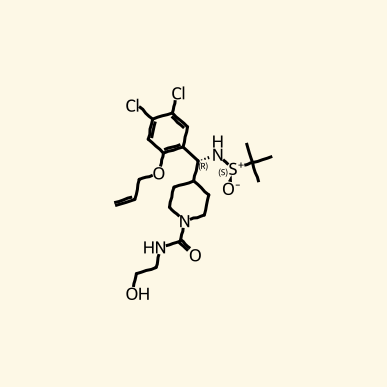 C=CCOc1cc(Cl)c(Cl)cc1[C@H](N[S@+]([O-])C(C)(C)C)C1CCN(C(=O)NCCO)CC1